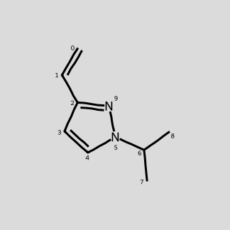 C=Cc1ccn(C(C)C)n1